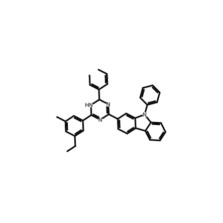 C/C=C\C(=C/C)C1N=C(c2ccc3c4ccccc4n(-c4ccccc4)c3c2)N=C(c2cc(C)cc(CC)c2)N1